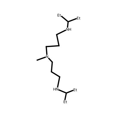 CCC(CC)NCCCN(C)CCCNC(CC)CC